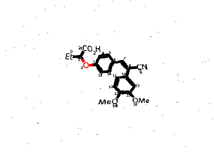 CCC(Oc1ccc(C=C(C#N)c2ccc(OC)c(OC)c2)cc1)C(=O)O